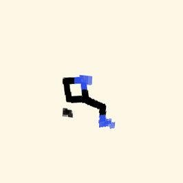 NCC1CCN1.[Pt]